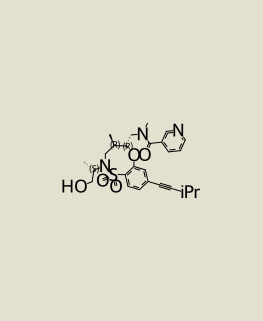 CC(C)C#Cc1ccc2c(c1)O[C@@H](CN(C)C(=O)c1cccnc1)[C@H](C)CN([C@@H](C)CO)S2(=O)=O